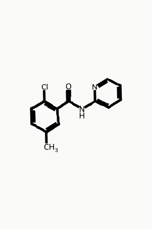 Cc1ccc(Cl)c(C(=O)Nc2ccccn2)c1